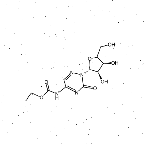 CCOC(=O)Nc1cnn([C@@H]2OC(CO)[C@@H](O)[C@H]2O)c(=O)n1